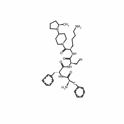 CC(C)C[C@@H](NC(=O)[C@@H](Cc1ccccc1)NC(=O)[C@H](N)Cc1ccccc1)C(=O)N[C@H](CCCCN)C(=O)N1CCC(N2CCC[C@H]2C)CC1